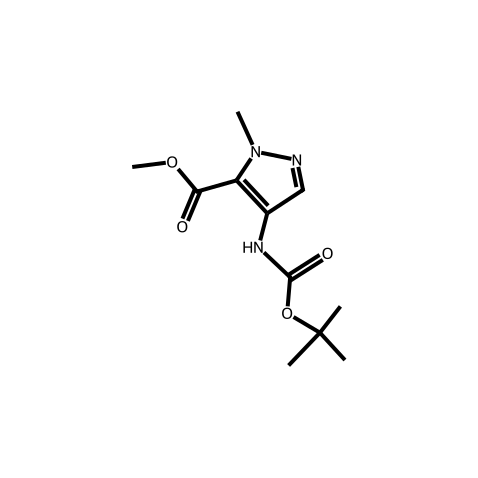 COC(=O)c1c(NC(=O)OC(C)(C)C)cnn1C